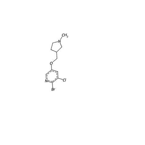 CN1CCC(COc2cnc(Br)c(Cl)c2)C1